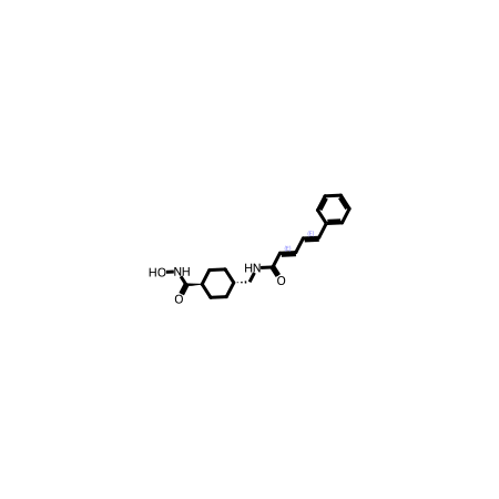 O=C(/C=C/C=C/c1ccccc1)NC[C@H]1CC[C@H](C(=O)NO)CC1